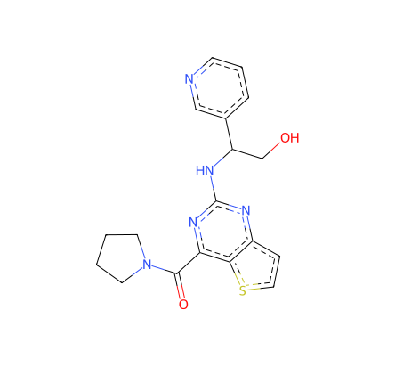 O=C(c1nc(NC(CO)c2cccnc2)nc2ccsc12)N1CCCC1